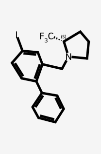 FC(F)(F)[C@@H]1CCCN1Cc1cc(I)ccc1-c1ccccc1